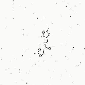 CC1OCC(COC(=O)C2COC(C)O2)O1